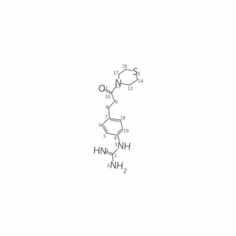 N=C(N)Nc1ccc(CCC(=O)N2CCSCC2)cc1